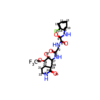 O=C(CNC(=O)C(=O)Nc1ccccc1F)NC(CC1CCCNC1=O)C(=O)COC(F)(F)F